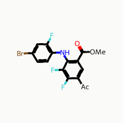 COC(=O)c1cc(C(C)=O)c(F)c(F)c1Nc1ccc(Br)cc1F